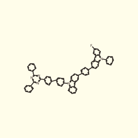 Fc1ccc2c(c1)c1cc(-c3ccc(-c4ccc5c(c4)c4ccccc4n5-c4ccc(-c5ccc(-c6nc(-c7ccccc7)nc(-c7ccccc7)n6)cc5)cc4)cc3)ccc1n2-c1ccccc1